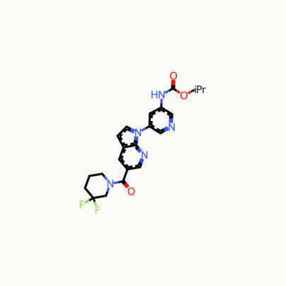 CC(C)OC(=O)Nc1cncc(-n2ccc3cc(C(=O)N4CCCC(F)(F)C4)cnc32)c1